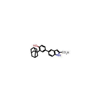 O=C(O)c1cc2cc(-c3ccc(O)c(C45CC6CC(CC(C6)C4)C5)c3)ccc2[nH]1